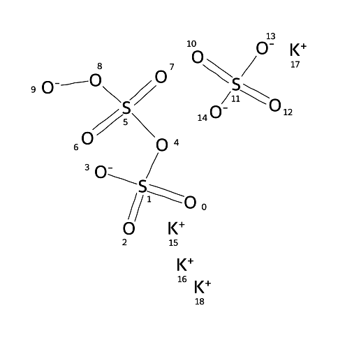 O=S(=O)([O-])OS(=O)(=O)O[O-].O=S(=O)([O-])[O-].[K+].[K+].[K+].[K+]